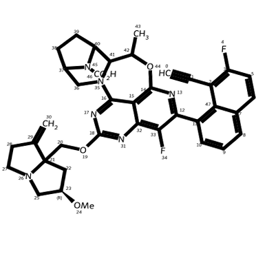 C#Cc1c(F)ccc2cccc(-c3nc4c5c(nc(OCC67C[C@@H](OC)CN6CCC7=C)nc5c3F)N3CC5CCC(C3C(C)O4)N5C(=O)O)c12